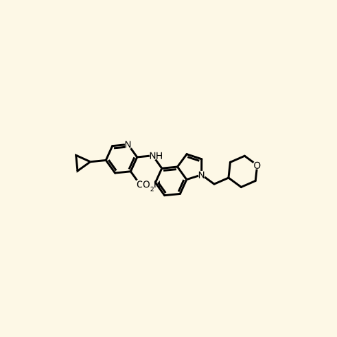 O=C(O)c1cc(C2CC2)cnc1Nc1cccc2c1ccn2CC1CCOCC1